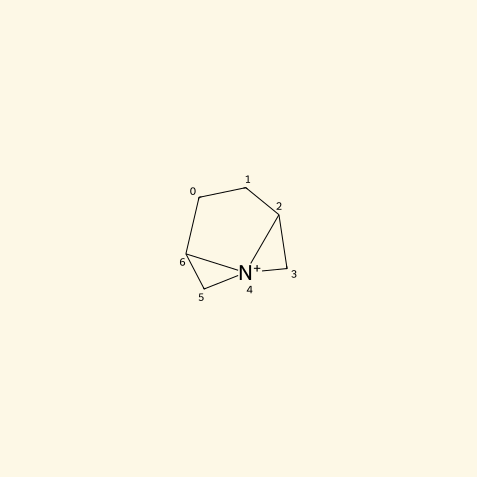 C1CC2C[N+]23CC13